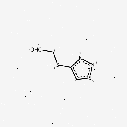 O=[C]CSc1csnn1